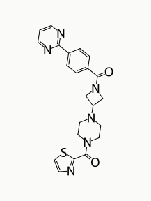 O=C(c1ccc(-c2ncccn2)cc1)N1CC(N2CCN(C(=O)c3nccs3)CC2)C1